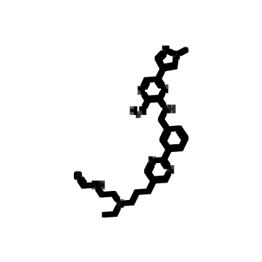 CCN(CCCc1cnc(-c2cccc(CNc3nc(-c4cnn(C)c4)cnc3N)c2)nc1)CCNC=O